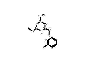 COB1OB(OC)OB(OC)O1.Cc1ccccc1